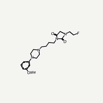 COc1cccc(N2CCN(CCCCN3C(=O)CN(CCF)C3=O)CC2)c1